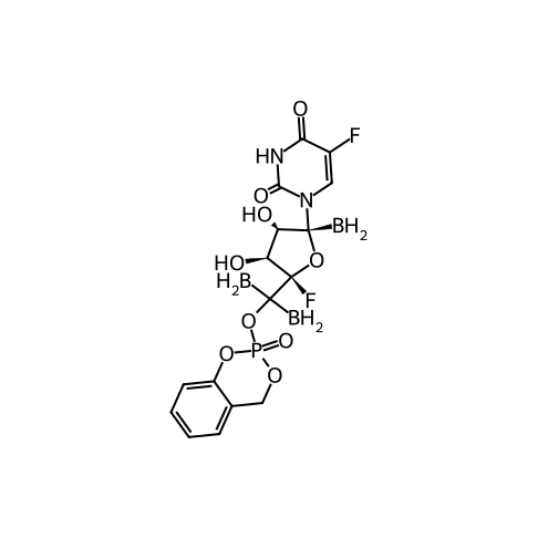 BC(B)(OP1(=O)OCc2ccccc2O1)[C@@]1(F)O[C@@](B)(n2cc(F)c(=O)[nH]c2=O)[C@H](O)[C@@H]1O